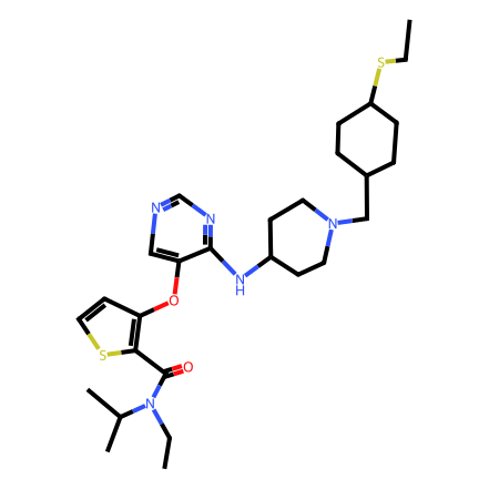 CCSC1CCC(CN2CCC(Nc3ncncc3Oc3ccsc3C(=O)N(CC)C(C)C)CC2)CC1